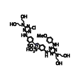 COc1ccc(Nc2nc(Nc3ccc(/C=C/c4ccc(Nc5nc(Cl)nc(N(CCO)CCO)n5)cc4S(=O)(=O)O)c(S(=O)(=O)O)c3)nc(N(CCO)CCO)n2)cc1